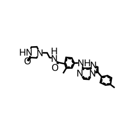 Cc1ccc(-c2cnc3c(Nc4ccc(C(=O)NCCN5CCNC(=O)C5)c(C)c4)nccn23)cc1